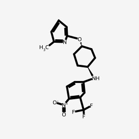 Cc1cccc(O[C@H]2CC[C@H](Nc3ccc([N+](=O)[O-])c(C(F)(F)F)c3)CC2)n1